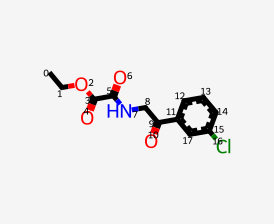 CCOC(=O)C(=O)NCC(=O)c1cccc(Cl)c1